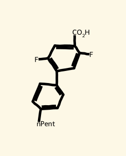 CCCCCc1ccc(-c2cc(F)c(C(=O)O)cc2F)cc1